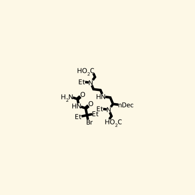 CCC(Br)(CC)C(=O)NC(N)=O.CCCCCCCCCCC(CNCCN(CC)CC(=O)O)N(CC)CC(=O)O